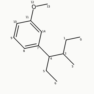 CCC(C)C(CC)c1cccc(OC)c1